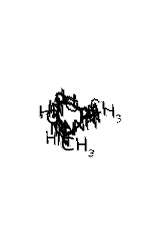 CNc1cc2nc3c(cnn13)C(=O)N[C@@H]1CCC[C@@H]1OCc1cc(c3nnn(C)c3c1)N2